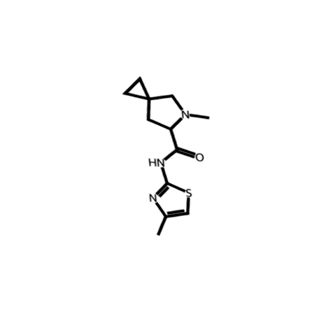 Cc1csc(NC(=O)C2CC3(CC3)CN2C)n1